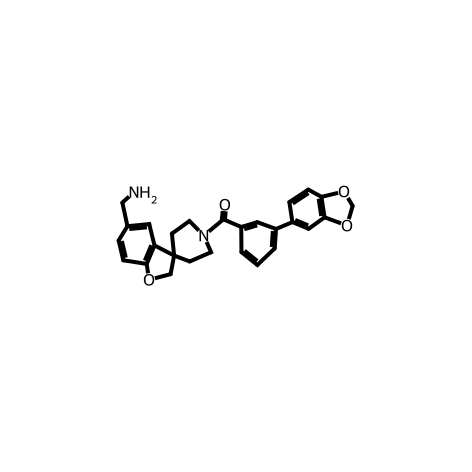 NCc1ccc2c(c1)C1(CCN(C(=O)c3cccc(-c4ccc5c(c4)OCO5)c3)CC1)CO2